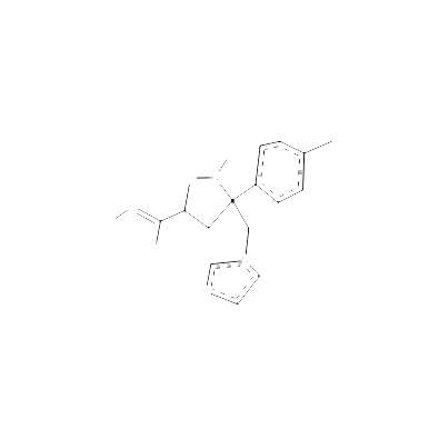 C/C(=N\O)C1CC(Cn2ccnc2)(c2ccc(Cl)cc2)N(C)O1